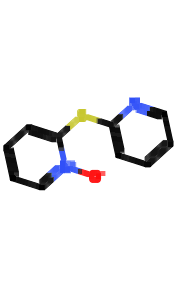 [O-][n+]1ccccc1Sc1ccccn1